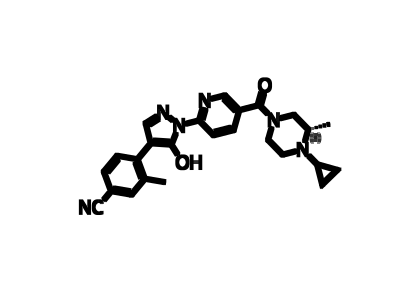 Cc1cc(C#N)ccc1-c1cnn(-c2ccc(C(=O)N3CCN(C4CC4)[C@@H](C)C3)cn2)c1O